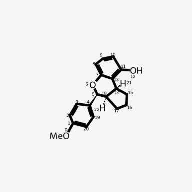 COc1ccc([C@H]2Oc3cccc(O)c3[C@H]3CCC[C@H]32)cc1